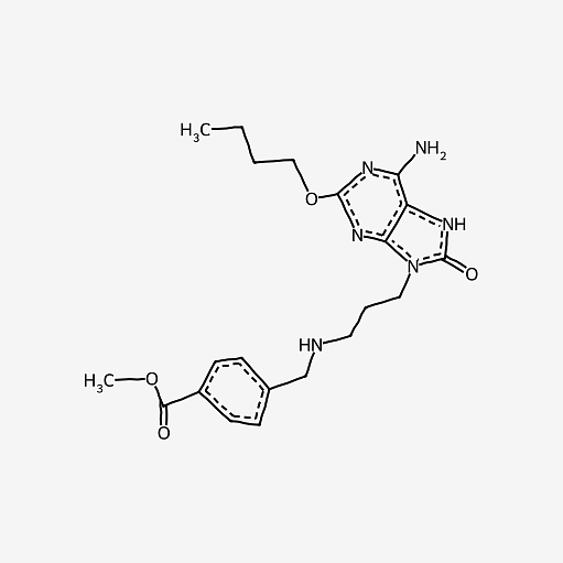 CCCCOc1nc(N)c2[nH]c(=O)n(CCCNCc3ccc(C(=O)OC)cc3)c2n1